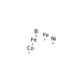 [B].[Co].[Fe].[Fe].[Ni]